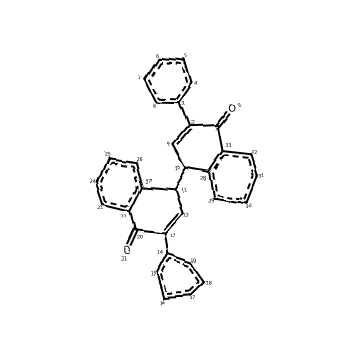 O=C1C(c2ccccc2)=CC(C2C=C(c3ccccc3)C(=O)c3ccccc32)c2ccccc21